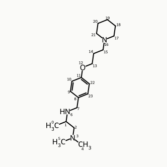 CC(CN(C)C)NCc1ccc(OCCCN2CCCCC2)cc1